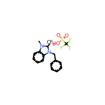 CN1c2ccccc2N(Cc2ccccc2)C1C(F)(F)F.O=S(=O)(O)C(F)(F)F